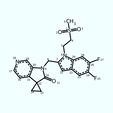 CS(=O)(=O)CCn1c(CN2C(=O)C3(CC3)c3ccncc32)cc2cc(F)c(F)cc21